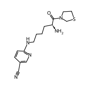 N#Cc1ccc(NCCCC[C@H](N)C(=O)N2CCSC2)nc1